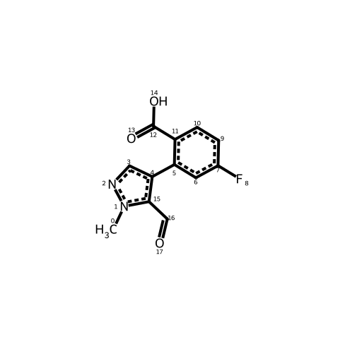 Cn1ncc(-c2cc(F)ccc2C(=O)O)c1C=O